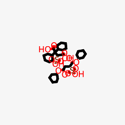 O=C(CC(C(=O)OC1CCCCC1)S(=O)(=O)O)OC1CCCCC1.O=C(O)C(C(C(=O)O)(C1CCCCC1)C1CCCCC1)S(=O)(=O)O